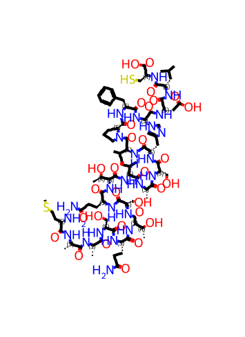 CSCC[C@H](N)C(=O)N[C@@H](C)C(=O)N[C@@H](C)C(=O)N[C@@H](CO)C(=O)N[C@@H](CCC(N)=O)C(=O)N[C@H](C(=O)N[C@@H](CO)C(=O)N[C@@H](CCC(N)=O)C(=O)N[C@H](C(=O)N[C@H](C(=O)N[C@@H](C)C(=O)N[C@@H](CO)C(=O)N[C@@H](Cc1c[nH]cn1)C(=O)N[C@H](C(=O)N1CCC[C@H]1C(=O)N[C@@H](Cc1ccccc1)C(=O)N[C@@H](C)C(=O)N[C@@H](CC(=O)O)C(=O)N[C@@H](CC(C)C)C(=O)N[C@@H](CS)C(=O)O)C(C)C)C(C)C)[C@@H](C)O)[C@@H](C)O